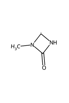 CN1[CH]NC1=O